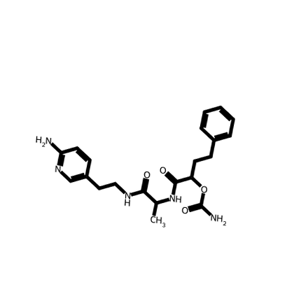 CC(NC(=O)C(CCc1ccccc1)OC(N)=O)C(=O)NCCc1ccc(N)nc1